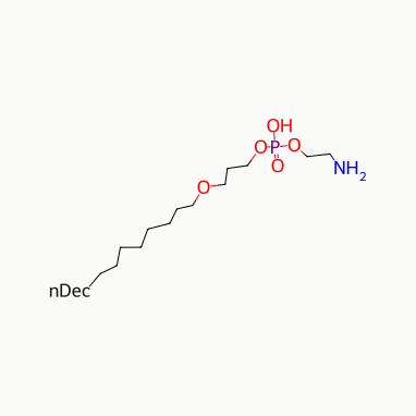 CCCCCCCCCCCCCCCCCCOCCCOP(=O)(O)OCCN